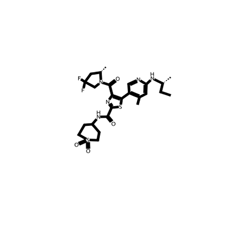 CC[C@@H](C)Nc1cc(C)c(-c2sc(C(=O)NC3CCS(=O)(=O)CC3)nc2C(=O)N2CC(F)(F)C[C@@H]2C)cn1